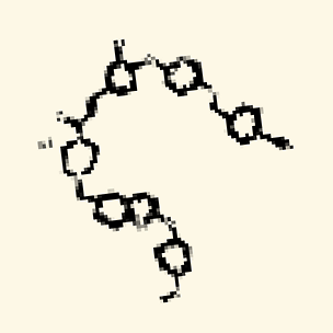 COc1ccc(Oc2ccc3cc(CN4CCN(C(=O)C=Cc5ccc(Oc6ccc(OCc7ccc(C#N)cc7)cn6)c(Cl)c5)CC4)ccc3n2)cc1.Cl